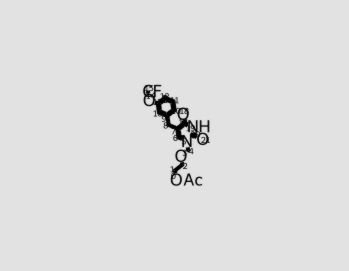 CC(=O)OCCOCn1cc(Cc2cccc(OC(F)(F)F)c2)c(=O)[nH]c1=O